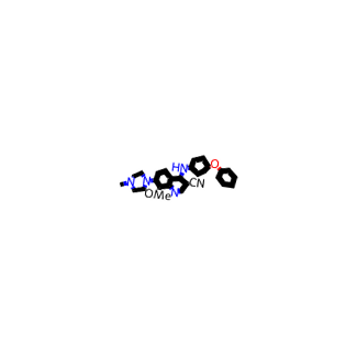 COc1c(N2CCN(C)CC2)ccc2c(Nc3ccc(Oc4ccccc4)cc3)c(C#N)cnc12